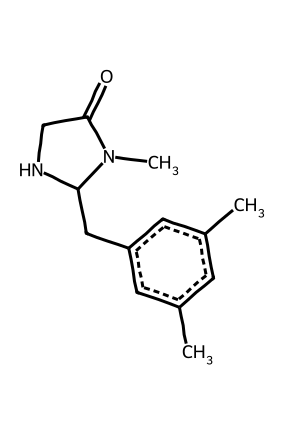 Cc1cc(C)cc(CC2NCC(=O)N2C)c1